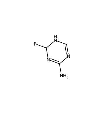 NC1=N[C](F)NC=N1